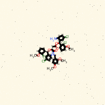 COc1ccc(CN2C(=O)[C@@H](CC(=O)OC(c3cc(Cl)ccc3N)c3cccc(OC)c3Cl)O[C@H](c3cccc(OC)c3Cl)c3cc(Cl)ccc32)c(OC)c1